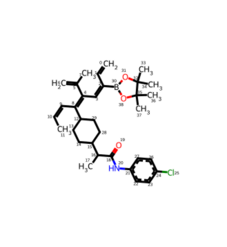 C=C\C(=C/C(C(=C)C)=C(/C=C\C)C1CCC(C(C)C(=O)Nc2ccc(Cl)cc2)CC1)B1OC(C)(C)C(C)(C)O1